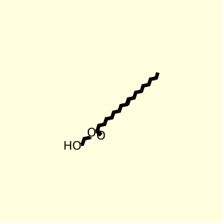 CCCCCCCCC=CCCCCCCCC(=O)OCCCO